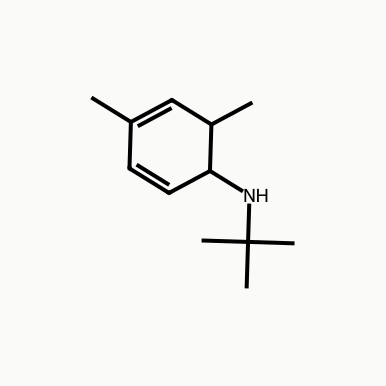 CC1=CC(C)C(NC(C)(C)C)C=C1